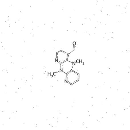 CN1c2ncccc2N(C)c2c(C=O)ccnc21